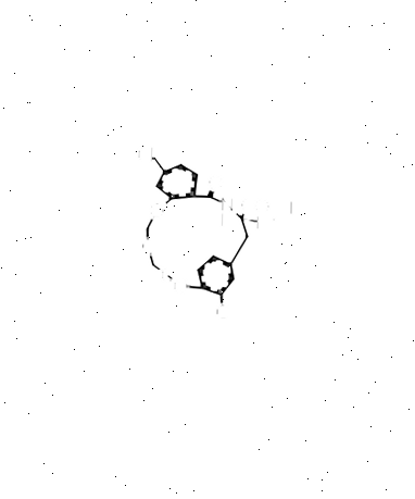 O=C1N[C@H](C(=O)O)Cc2ccc(c(Cl)c2)OCCCCOc2cc(Cl)ccc21